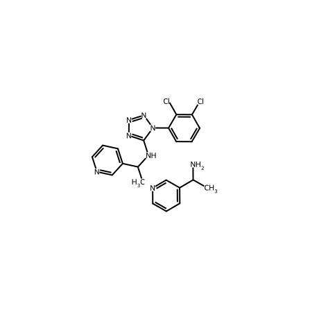 CC(N)c1cccnc1.CC(Nc1nnnn1-c1cccc(Cl)c1Cl)c1cccnc1